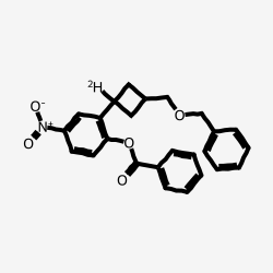 [2H]C1(c2cc([N+](=O)[O-])ccc2OC(=O)c2ccccc2)CC(COCc2ccccc2)C1